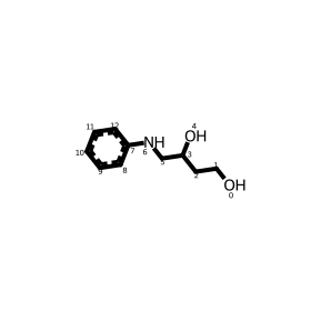 OCCC(O)CNc1ccccc1